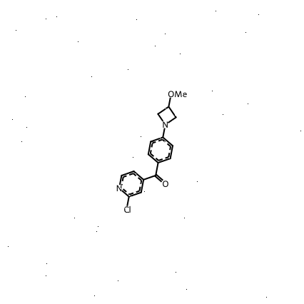 COC1CN(c2ccc(C(=O)c3ccnc(Cl)c3)cc2)C1